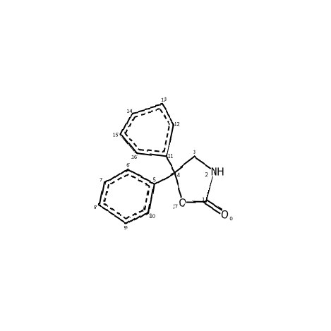 O=C1NCC(c2ccccc2)(c2ccccc2)O1